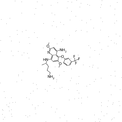 COc1cc(N)c2c(Oc3cccc(C(F)(F)F)c3)c(OC)cc(NC(C)CCCN)c2n1